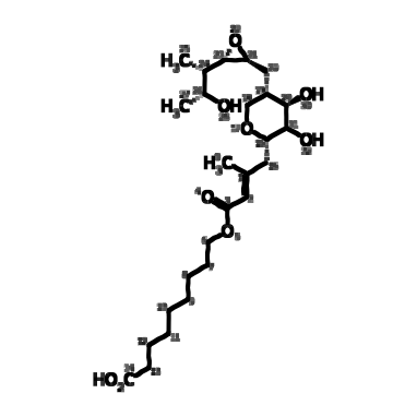 C/C(=C\C(=O)OCCCCCCCCC(=O)O)C[C@@H]1OC[C@H](C[C@@H]2O[C@H]2[C@@H](C)[C@@H](C)O)[C@@H](O)C1O